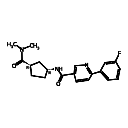 CN(C)C(=O)[C@H]1CC[C@@H](NC(=O)c2ccc(-c3cccc(F)c3)nc2)C1